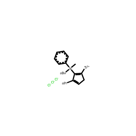 CCCC[Si](C)(C1=[C]([Ti+3])CC=C1CCC)c1ccccc1.[Cl-].[Cl-].[Cl-]